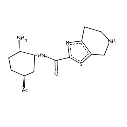 CC(=O)[C@H]1CC[C@H](N)[C@H](NC(=O)c2nc3c(s2)CNCC3)C1